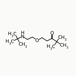 CC(C)(C)NCCOCCC(=O)C(C)(C)C